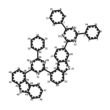 c1ccc(-c2nc(-c3ccccc3)nc(-c3ccc4c(c3)sc3cccc(-c5nc(-c6ccccc6)nc(-c6cccc7sc8ccccc8c67)n5)c34)n2)cc1